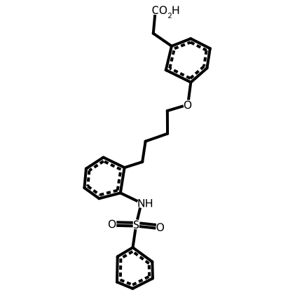 O=C(O)Cc1cccc(OCCCCc2ccccc2NS(=O)(=O)c2ccccc2)c1